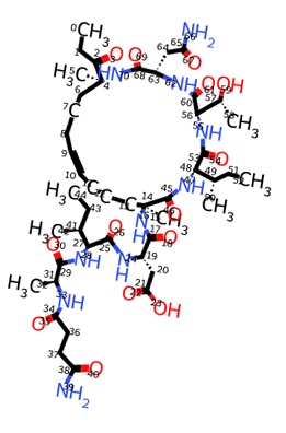 CCC(=O)[C@]1(C)CCC/C=C\CCC[C@](C)(NC(=O)[C@H](CC(=O)O)NC(=O)[C@@H](NC(=O)[C@H](C)NC(=O)CCC(N)=O)[C@@H](C)CC)C(=O)N[C@@H]([C@@H](C)CC)C(=O)N[C@@H]([C@@H](C)O)C(=O)N[C@@H](CC(N)=O)C(=O)N1